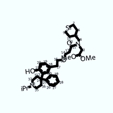 COC(CN(CC1CCSCC1)C(=O)CCOCCc1ccc(O)c(C2(c3ccccc3)CCN(C(C)C)CC2)c1)OC